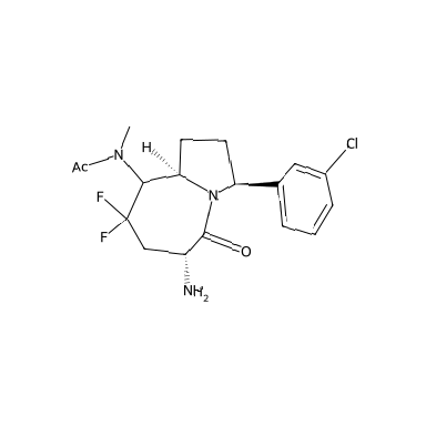 CC(=O)N(C)C1[C@H]2CC[C@@H](c3cccc(Cl)c3)N2C(=O)[C@H](N)CC1(F)F